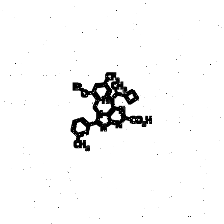 CCOc1cc(C(F)(F)F)ccc1Cn1c(-c2cccc(C)c2)nc2nc(C(=O)O)nc(N[C@H](C)C3CCC3)c21